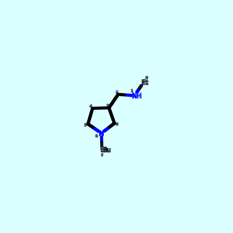 CCNCC1CCN(C(C)(C)C)C1